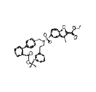 CCOC(=O)c1oc2ccc(S(=O)(=O)N(CCc3ccccc3)Cc3ccc(-c4ccccc4C(=O)OC(C)(C)C)cc3)cc2c1C